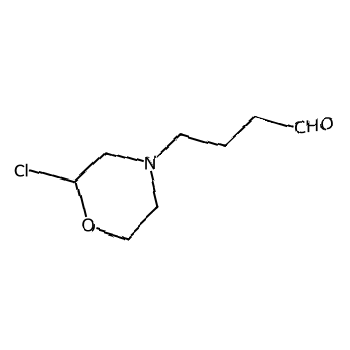 O=CCCCN1CCOC(Cl)C1